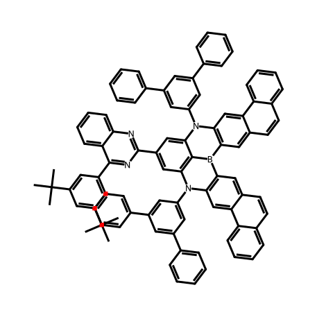 CC(C)(C)c1cc(-c2nc(-c3cc4c5c(c3)N(c3cc(-c6ccccc6)cc(-c6ccccc6)c3)c3cc6c(ccc7ccccc76)cc3B5c3cc5ccc6ccccc6c5cc3N4c3cc(-c4ccccc4)cc(-c4ccccc4)c3)nc3ccccc23)cc(C(C)(C)C)c1